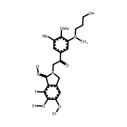 CCOc1cc2c(c(F)c1OCC)/C(=N/Cl)N(CC(=O)c1cc(N(C)CCCO)c(OC)c(C(C)(C)C)c1)C2